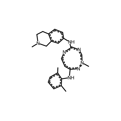 Cc1cccc(C)c1Nc1ccnc(Nc2ccc3c(c2)CN(C)CC3)ncn(C)n1